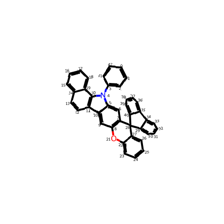 c1ccc(-n2c3cc4c(cc3c3ccc5ccccc5c32)Oc2ccccc2C42c3ccccc3-c3ccccc32)cc1